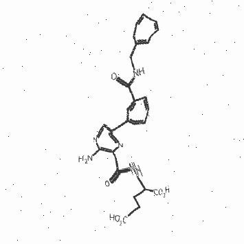 Nc1ncc(-c2cccc(C(=O)NCc3ccccc3)c2)nc1C(=O)NC(CCC(=O)O)C(=O)O